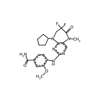 COc1cc(C(N)=O)ccc1Nc1ncc2c(n1)N(C1CCCC1)CC(F)(F)C(=O)N2C